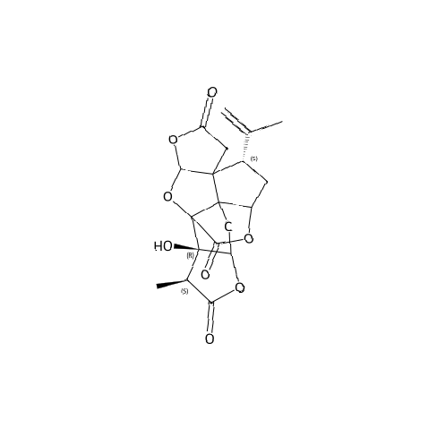 C=C(C)[C@@H]1CC2OC(=O)C34OC5OC(=O)CC51C23CC1OC(=O)[C@@H](C)[C@@]14O